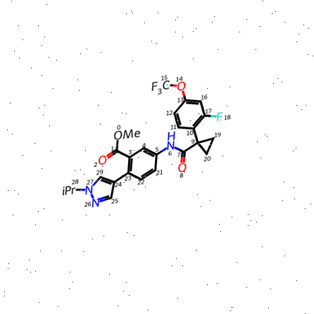 COC(=O)c1cc(NC(=O)C2(c3ccc(OC(F)(F)F)cc3F)CC2)ccc1-c1cnn(C(C)C)c1